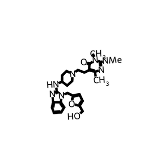 CNc1nc(C)c(CCN2CCC(Nc3nc4ccccc4n3Cc3ccc(CO)o3)CC2)c(=O)n1C